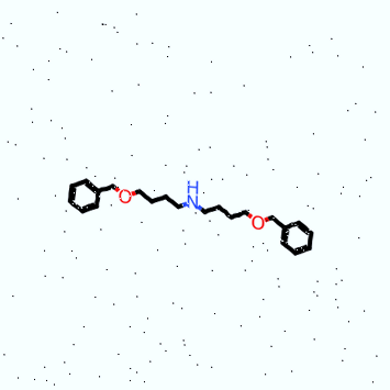 c1ccc(COCCCCNCCCCOCc2ccccc2)cc1